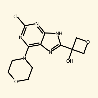 OC1(c2nc3c(N4CCOCC4)nc(Cl)nc3[nH]2)COC1